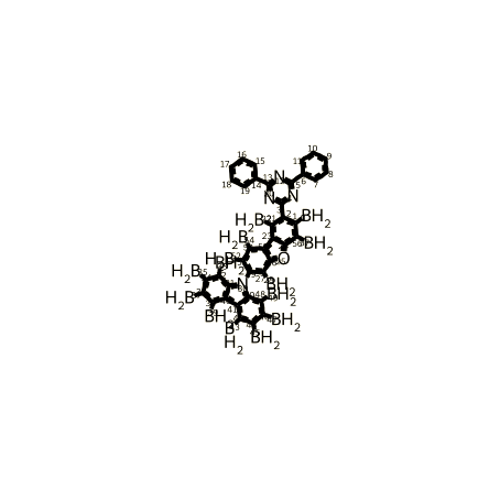 Bc1c(-c2nc(-c3ccccc3)nc(-c3ccccc3)n2)c(B)c2c(oc3c(B)c(-n4c5c(B)c(B)c(B)c(B)c5c5c(B)c(B)c(B)c(B)c54)c(B)c(B)c32)c1B